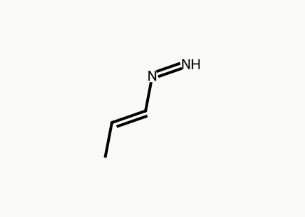 C/C=C/N=N